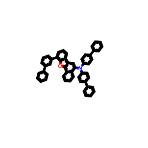 c1ccc(-c2ccc(N(c3ccc(-c4ccccc4)cc3)c3cc4c5cccc(-c6cccc(-c7ccccc7)c6)c5oc4c4ccccc34)cc2)cc1